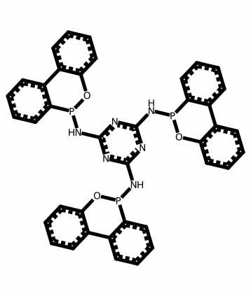 c1ccc2c(c1)OP(Nc1nc(NP3Oc4ccccc4-c4ccccc43)nc(NP3Oc4ccccc4-c4ccccc43)n1)c1ccccc1-2